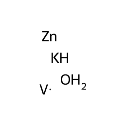 O.[KH].[V].[Zn]